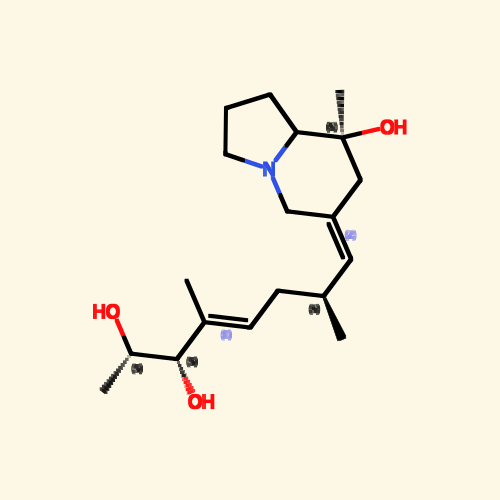 C/C(=C\C[C@H](C)/C=C1\CN2CCCC2[C@@](C)(O)C1)[C@H](O)[C@H](C)O